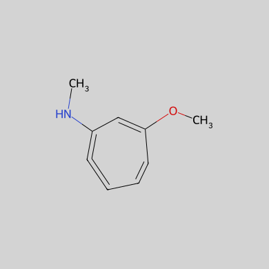 CNC1=C=CC=CC(OC)=C1